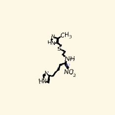 Cc1nc[nH]c1CSCCN/C(=C/[N+](=O)[O-])CCCCc1c[nH]cn1